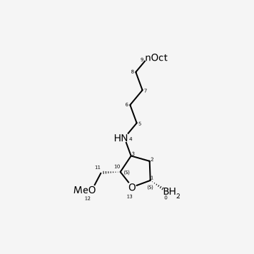 B[C@H]1CC(NCCCCCCCCCCCC)[C@@H](COC)O1